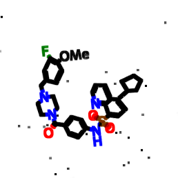 COc1ccc(CN2CCN(C(=O)c3ccc(NS(=O)(=O)c4ccc(C5CCCC5)c5cccnc45)cc3)CC2)cc1F